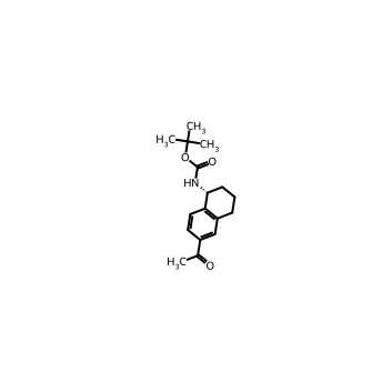 CC(=O)c1ccc2c(c1)CCC[C@H]2NC(=O)OC(C)(C)C